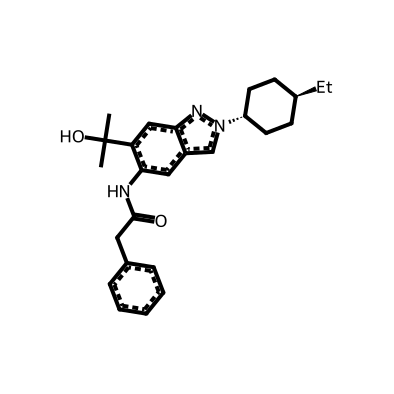 CC[C@H]1CC[C@H](n2cc3cc(NC(=O)Cc4ccccc4)c(C(C)(C)O)cc3n2)CC1